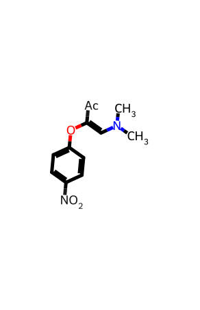 CC(=O)C(=CN(C)C)Oc1ccc([N+](=O)[O-])cc1